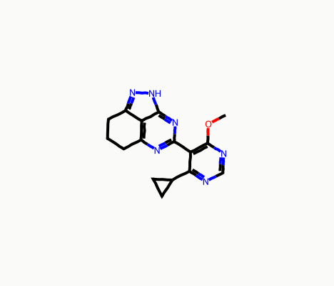 COc1ncnc(C2CC2)c1-c1nc2c3c(n[nH]c3n1)CCC2